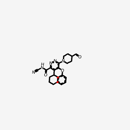 N#CNC(=O)c1nnc(N2CCC(C=O)CC2)c(Oc2ccccc2)c1C1CCCCC1